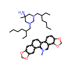 CCCCC(CC)CN1CN(CC(CC)CCCC)CC(C)(N)C1.C[n+]1cc2c3c(ccc2c2ccc4cc5c(cc4c21)OCO5)OCO3